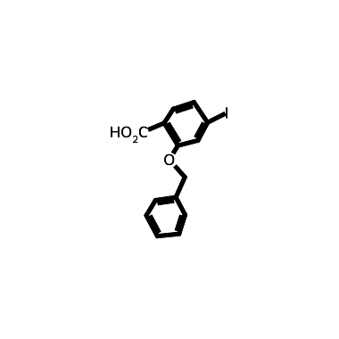 O=C(O)c1ccc(I)cc1OCc1ccccc1